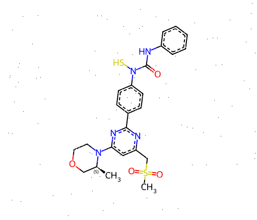 C[C@H]1COCCN1c1cc(CS(C)(=O)=O)nc(-c2ccc(N(S)C(=O)Nc3ccccc3)cc2)n1